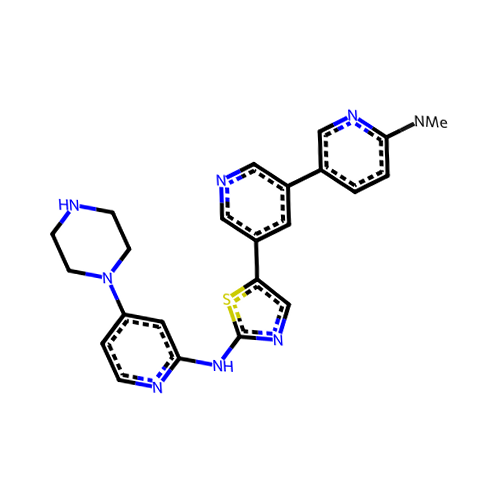 CNc1ccc(-c2cncc(-c3cnc(Nc4cc(N5CCNCC5)ccn4)s3)c2)cn1